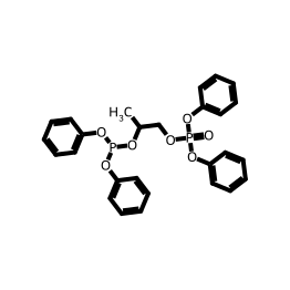 CC(COP(=O)(Oc1ccccc1)Oc1ccccc1)OP(Oc1ccccc1)Oc1ccccc1